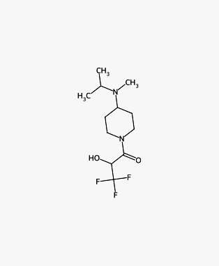 CC(C)N(C)C1CCN(C(=O)C(O)C(F)(F)F)CC1